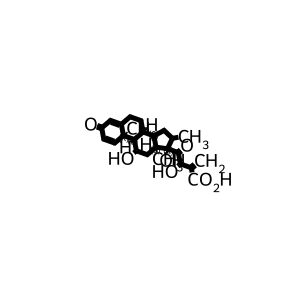 C=C(C(=O)O)C(O)C(=O)[C@@]1(O)C(C)C[C@H]2[C@@H]3CCC4=CC(=O)C=C[C@]4(C)[C@H]3C(O)C[C@@]21C